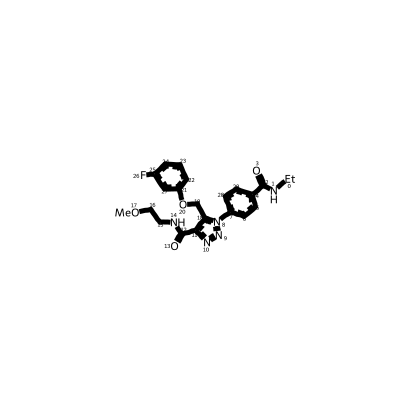 CCNC(=O)c1ccc(-n2nnc(C(=O)NCCOC)c2COc2cccc(F)c2)cc1